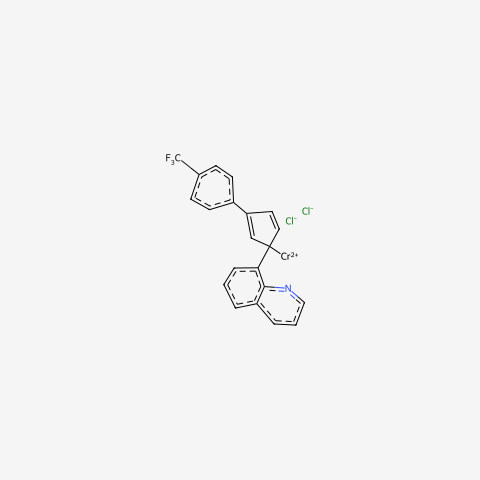 FC(F)(F)c1ccc(C2=C[C]([Cr+2])(c3cccc4cccnc34)C=C2)cc1.[Cl-].[Cl-]